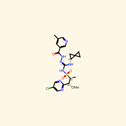 CO[C@H](c1ncc(Cl)cn1)[C@H](C)S(=O)(=O)N/C(=N/NC(=O)c1cncc(C)c1)N[C@@H]1CC12CC2